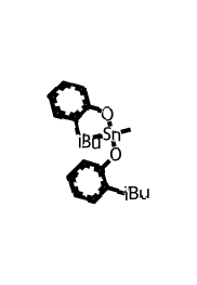 CCC(C)c1ccccc1[O][Sn]([CH3])([CH3])[O]c1ccccc1C(C)CC